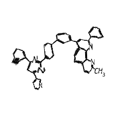 Cc1ccc2ccc3c(-c4cccc(-c5ccc(-c6nc(-c7ccccc7)cc(-c7cccnc7)n6)cc5)c4)cc(-c4ccccc4)nc3c2n1